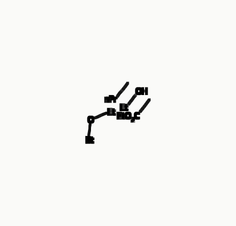 CCCC.CCO.CCOC(C)=O.CCOCC